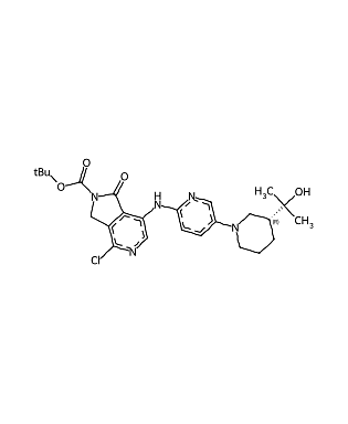 CC(C)(C)OC(=O)N1Cc2c(Cl)ncc(Nc3ccc(N4CCC[C@@H](C(C)(C)O)C4)cn3)c2C1=O